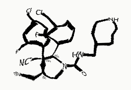 CC(C)(C)C[C@@H]1CN(C(=O)NCC2CCNCC2)[C@H](c2cccc(Cl)c2F)[C@@]1(C#N)c1ccc(Cl)cc1F